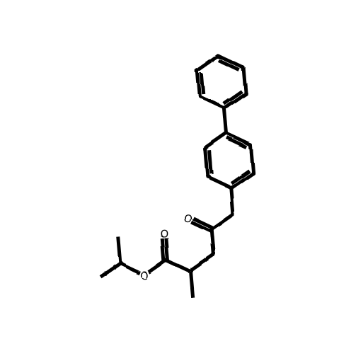 CC(C)OC(=O)C(C)CC(=O)Cc1ccc(-c2ccccc2)cc1